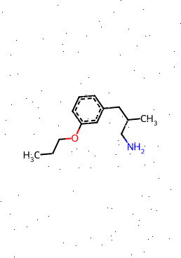 CCCOc1cccc(CC(C)CN)c1